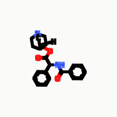 O=C(NC(C(=O)O[C@H]1CN2CCC1CC2)c1ccccc1)c1ccccc1